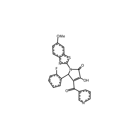 COc1ccc2nc(N3C(=O)C(O)=C(C(=O)c4cccnc4)C3c3ccccc3F)sc2c1